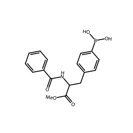 COC(=O)C(Cc1ccc(B(O)O)cc1)NC(=O)c1ccccc1